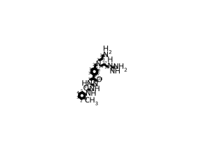 Cc1ccccc1NC(=O)Nc1nc(=O)c(-c2ccc(CN(CCCN)CCCNC(=N)N)cc2)c[nH]1